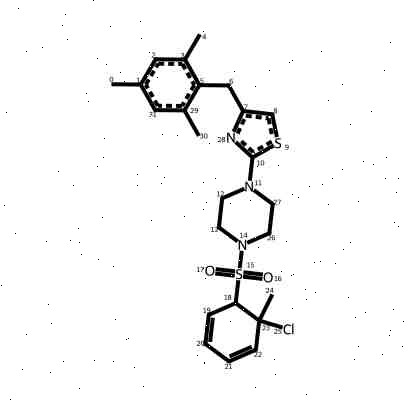 Cc1cc(C)c(Cc2csc(N3CCN(S(=O)(=O)C4C=CC=CC4(C)Cl)CC3)n2)c(C)c1